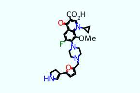 COc1c(N2CCN(Cc3ccc(C4=CNCC4)o3)CC2)c(F)cc2c(=O)c(C(=O)O)cn(C3CC3)c12